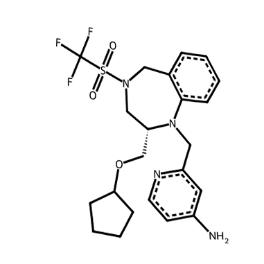 Nc1ccnc(CN2c3ccccc3CN(S(=O)(=O)C(F)(F)F)C[C@H]2COC2CCCC2)c1